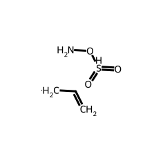 NO[SH](=O)=O.[CH2]C=C